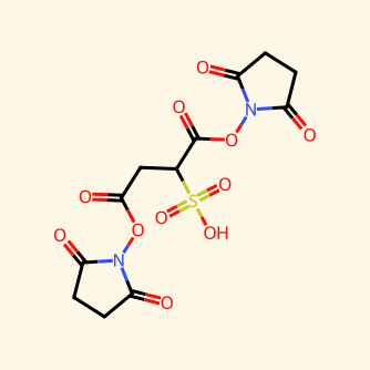 O=C(CC(C(=O)ON1C(=O)CCC1=O)S(=O)(=O)O)ON1C(=O)CCC1=O